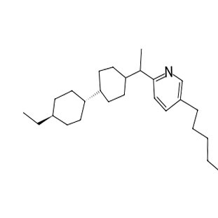 CCCCCc1ccc(C(C)C2CCC([C@H]3CC[C@H](CC)CC3)CC2)nc1